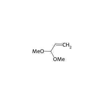 C=CC(OC)OC